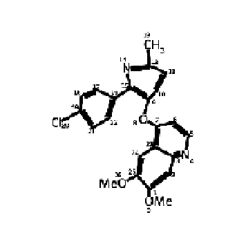 COc1cc2nccc(Oc3ccc(C)nc3-c3ccc(Cl)cc3)c2cc1OC